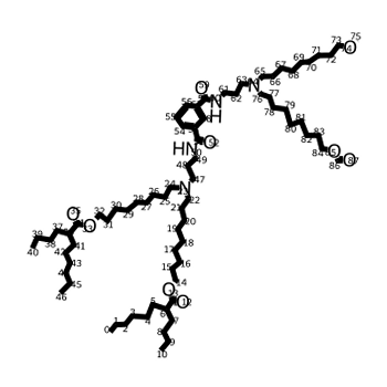 CCCCCCC(CCCC)C(=O)OCCCCCCCCCN(CCCCCCCCCOC(=O)C(CCCC)CCCCCC)CCCNC(=O)c1cccc(C(=O)NCCCN(CCCCCCCCCOC)CCCCCCCCCOC=O)c1